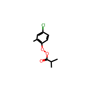 Cc1cc(Cl)ccc1OOC(=O)C(C)C